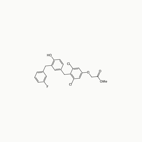 COC(=O)COc1cc(Cl)c(Cc2ccc(O)c(Cc3cccc(F)c3)c2)c(Cl)c1